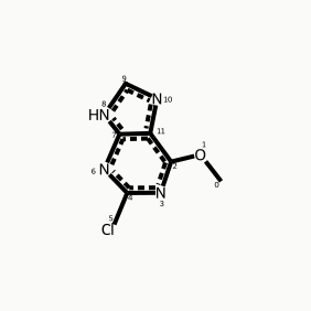 COc1nc(Cl)nc2[nH]cnc12